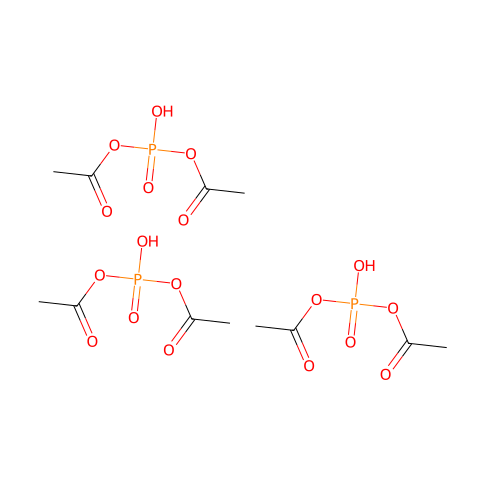 CC(=O)OP(=O)(O)OC(C)=O.CC(=O)OP(=O)(O)OC(C)=O.CC(=O)OP(=O)(O)OC(C)=O